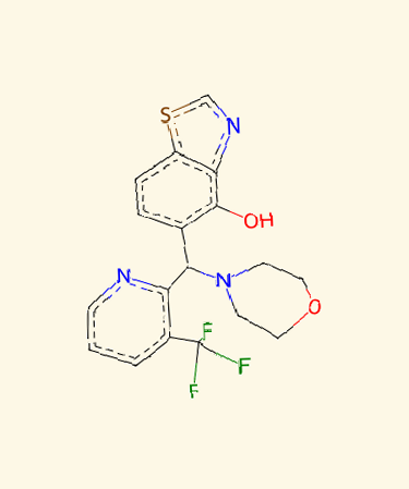 Oc1c(C(c2ncccc2C(F)(F)F)N2CCOCC2)ccc2scnc12